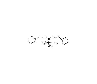 BC(B)(C)N(CCCc1ccccc1)CCCc1ccccc1